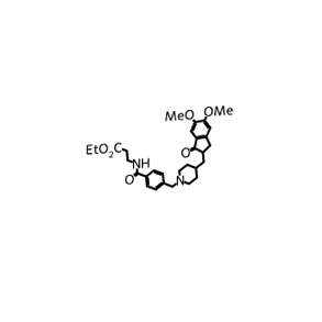 CCOC(=O)CCNC(=O)c1ccc(CN2CCC(CC3Cc4cc(OC)c(OC)cc4C3=O)CC2)cc1